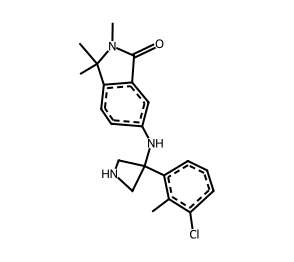 Cc1c(Cl)cccc1C1(Nc2ccc3c(c2)C(=O)N(C)C3(C)C)CNC1